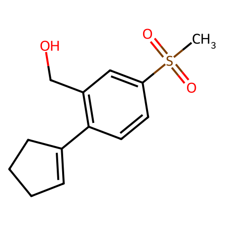 CS(=O)(=O)c1ccc(C2=CCCC2)c(CO)c1